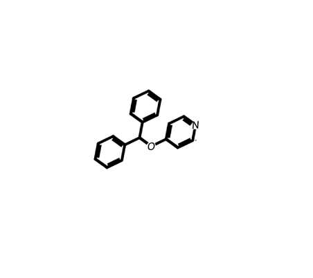 [c]1cc(OC(c2ccccc2)c2ccccc2)ccn1